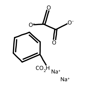 O=C(O)c1ccccc1.O=C([O-])C(=O)[O-].[Na+].[Na+]